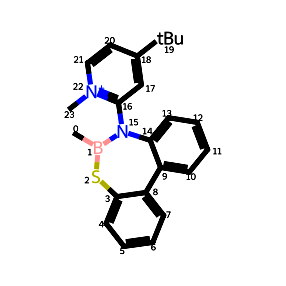 CB1Sc2ccccc2-c2ccccc2N1c1cc(C(C)(C)C)cc[n+]1C